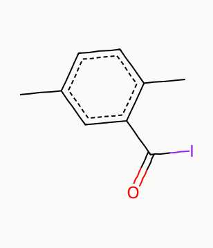 Cc1ccc(C)c(C(=O)I)c1